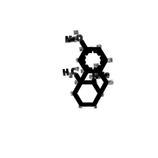 CNC1C2CCCC1(C)c1cc(OC)ccc1C2